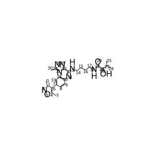 Cc1noc(C)c1-c1ccc2nc(NCCCCNC(=O)[C@@H](O)C(C)C)c3nnc(C)n3c2c1